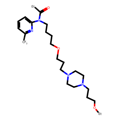 CCOCCCN1CCN(CCCOCCCCN(C(=O)CC)c2cccc(C(F)(F)F)n2)CC1